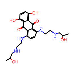 CC(O)CNCCNc1ccc(NCCNCC(C)O)c2c1C(=O)c1c(O)ccc(O)c1C2=O